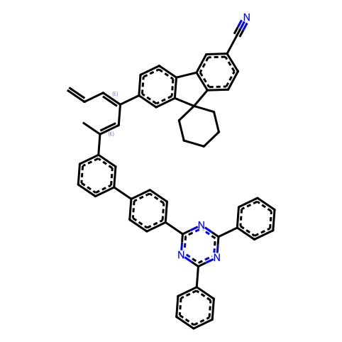 C=C/C=C(\C=C(/C)c1cccc(-c2ccc(-c3nc(-c4ccccc4)nc(-c4ccccc4)n3)cc2)c1)c1ccc2c(c1)C1(CCCCC1)c1ccc(C#N)cc1-2